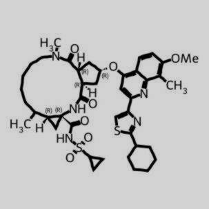 COc1ccc2c(O[C@@H]3C[C@H]4C(=O)N[C@]5(C(=O)NS(=O)(=O)C6CC6)C[C@@H]5C(C)CCCCCN(C)C(=O)[C@@H]4C3)cc(-c3csc(C4CCCCC4)n3)nc2c1C